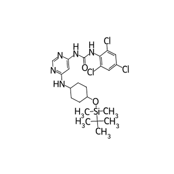 CC(C)(C)[Si](C)(C)OC1CCC(Nc2cc(NC(=O)Nc3c(Cl)cc(Cl)cc3Cl)ncn2)CC1